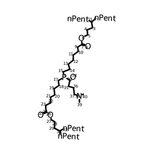 CCCCCC(CCCCC)CCCOC(=O)CCCCCCCP(CCCCCCCC(=O)OCCCC(CCCCC)CCCCC)C(=O)CCCN(C)C